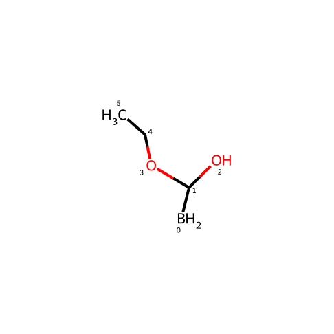 BC(O)OCC